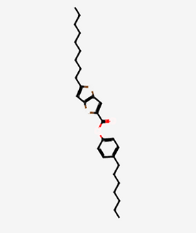 CCCCCCCCCc1cc2sc(C(=O)Oc3ccc(CCCCCCC)cc3)cc2s1